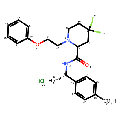 C[C@H](NC(=O)[C@@H]1CC(F)(F)CCN1CCOc1ccccc1)c1ccc(C(=O)O)cc1.Cl